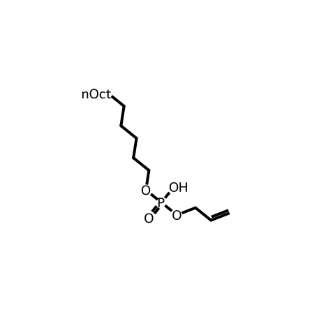 C=CCOP(=O)(O)OCCCCCCCCCCCCC